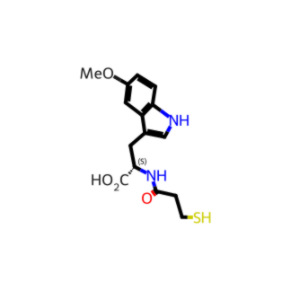 COc1ccc2[nH]cc(C[C@H](NC(=O)CCS)C(=O)O)c2c1